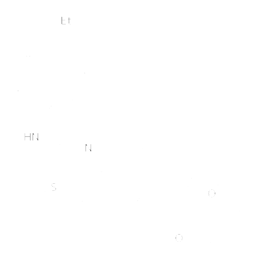 CCc1ccc(Nc2nc(-c3ccc4c(c3)OCCO4)cs2)cc1